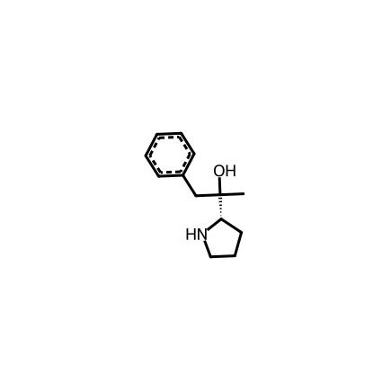 CC(O)(Cc1ccccc1)[C@@H]1CCCN1